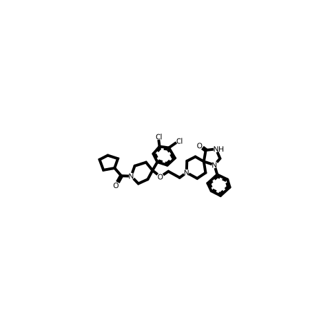 O=C(C1CCCC1)N1CCC(OCCN2CCC3(CC2)C(=O)NCN3c2ccccc2)(c2ccc(Cl)c(Cl)c2)CC1